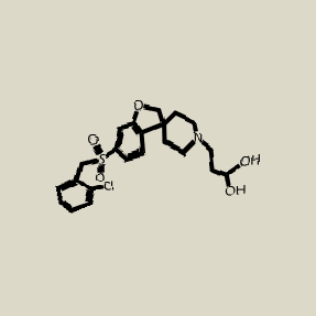 O=S(=O)(Cc1ccccc1Cl)c1ccc2c(c1)OCC21CCN(CCC(O)O)CC1